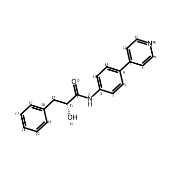 O=C(Nc1ccc(-c2ccncc2)cc1)[C@H](O)Cc1ccccc1